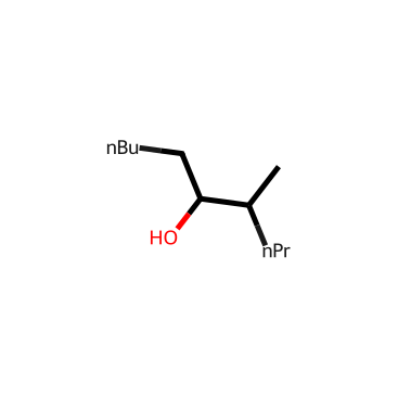 CCCCCC(O)C(C)CCC